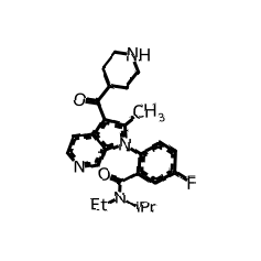 CCN(C(=O)c1cc(F)ccc1-n1c(C)c(C(=O)C2CCNCC2)c2ccncc21)C(C)C